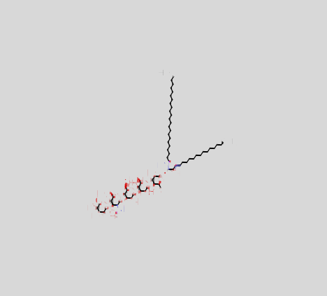 CCCCCCCCCCCCC/C=C/[C@@H](O)[C@H](CO[C@@H]1OC(CO)[C@@H](O[C@@H]2OC(CO)[C@H](O)[C@H](O[C@H]3OC(CO)[C@H](O)[C@H](O[C@@H]4OC(CO)[C@@H](O)[C@H](O[C@H]5OC(C)[C@@H](O)C(O)[C@@H]5O)C4NC(C)=O)C3O)C2O)[C@H](O)C1O)NC(=O)CCCCCCCCCCCCCCCCCCCCCCC